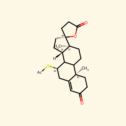 CC(=O)S[C@@H]1CC2=CC(=O)CC[C@]2(C)C2CC[C@@]3(C)[C@@H](CC[C@@]34CCC(=O)O4)C21